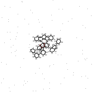 c1ccc(-c2ccc(-c3nc(-c4cccc5nc(-c6ccccc6)oc45)nc(-n4c5ccccc5c5ccc6c7ccccc7n(-c7ccc8c(c7)sc7c(-c9ccccc9)cccc78)c6c54)n3)cc2)cc1